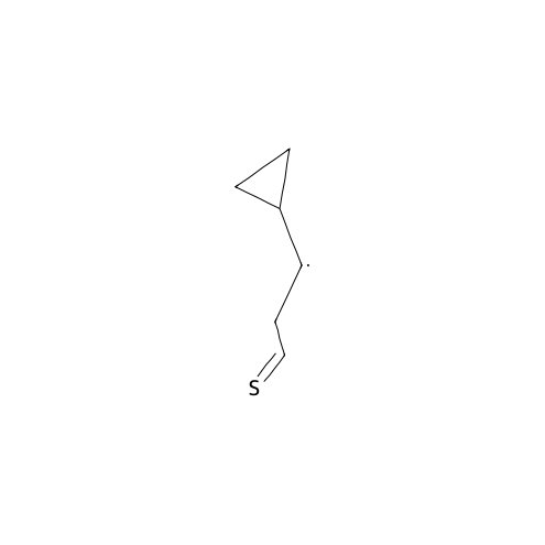 S=CC[CH]C1CC1